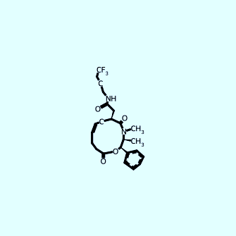 C[C@H]1[C@@H](c2ccccc2)OC(=O)CCC=CC[C@@H](CC(=O)NCCCC(F)(F)F)C(=O)N1C